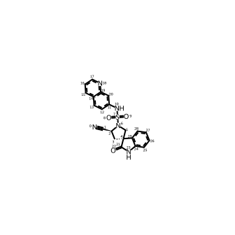 N#C[C@@H]1C[C@@]2(CN1S(=O)(=O)Nc1ccc3cccnc3c1)C(=O)Nc1ccccc12